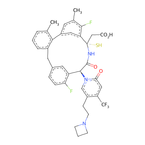 Cc1cc2cc(c1F)[C@@](S)(CC(=O)O)NC(=O)[C@@H](n1cc(CCN3CCC3)c(C(F)(F)F)cc1=O)c1cc(ccc1F)Cc1cccc(C)c1-2